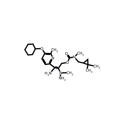 Cc1nc(/C(N)=C(\COC(=O)N(C)CC2CC2(C)C)N(C)N)ccc1OC1CCCCC1